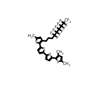 Cc1cc(C)c(-c2ccc(-c3ccc(-c4sc(C)cc4CCCC(F)(F)C(F)(F)C(F)(F)C(F)(F)C(F)(F)C(F)(F)F)s3)s2)s1